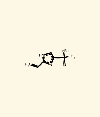 C=Cc1nc(C(C)(CC)CCCC)c[nH]1